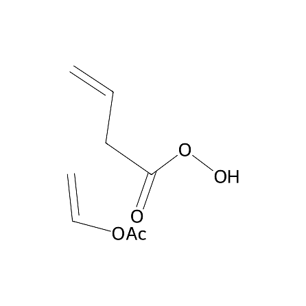 C=CCC(=O)OO.C=COC(C)=O